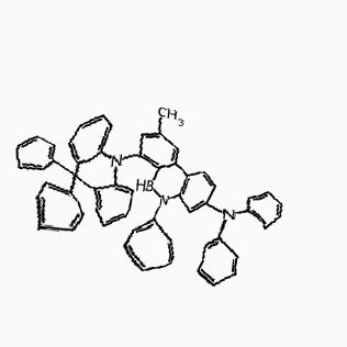 Cc1cc2c(c(N3c4ccccc4C(c4ccccc4)(c4ccccc4)c4ccccc43)c1)BN(c1ccccc1)c1cc(N(c3ccccc3)c3ccccc3)ccc1-2